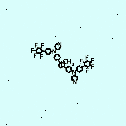 Cn1c(-c2ccc(N(c3ccncc3)c3ccc(-c4c(F)c(F)c(F)c(F)c4F)cc3)cc2)ccc1-c1ccc(N(c2ccncc2)c2ccc(-c3c(F)c(F)c(F)c(F)c3F)cc2)cc1